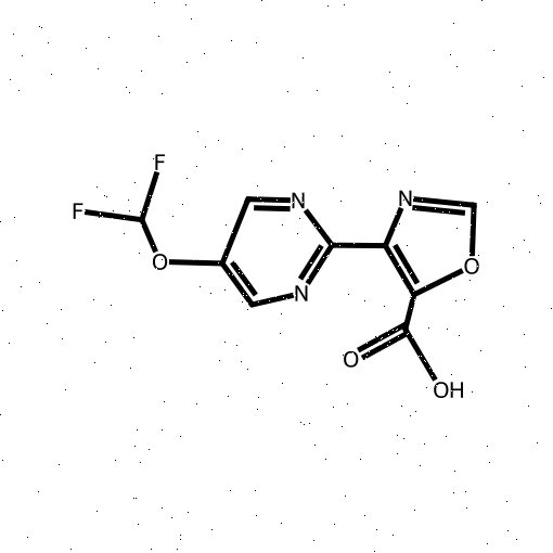 O=C(O)c1ocnc1-c1ncc(OC(F)F)cn1